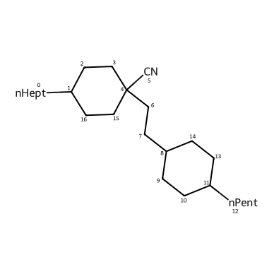 CCCCCCCC1CCC(C#N)(CCC2CCC(CCCCC)CC2)CC1